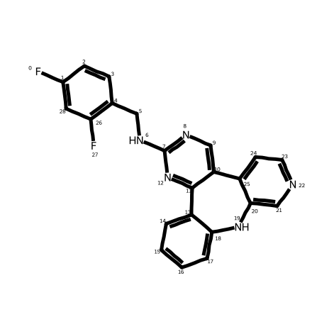 Fc1ccc(CNc2ncc3c(n2)-c2ccccc2Nc2cnccc2-3)c(F)c1